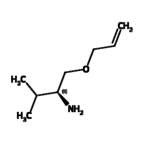 C=CCOC[C@@H](N)C(C)C